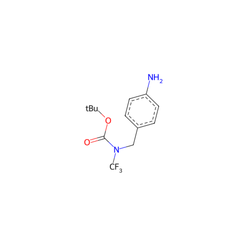 CC(C)(C)OC(=O)N(Cc1ccc(N)cc1)C(F)(F)F